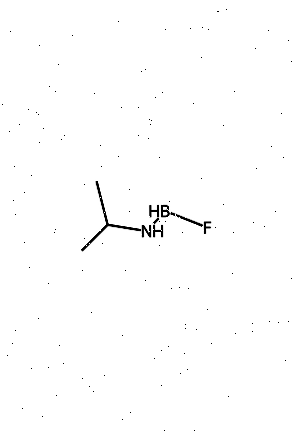 CC(C)NBF